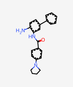 Nc1ccc(-c2ccccc2)cc1NC(=O)c1ccc(N2CCCC2)cc1